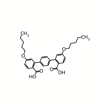 CCCCCOc1ccc(C(=O)O)c(-c2ccc(-c3cc(OCCCCC)ccc3C(=O)O)cc2)c1